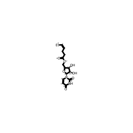 CC/C=C\CCC(=O)OCC1O[C@@H](n2ccc(=O)[nH]c2=O)[C@H](O)[C@@H]1O